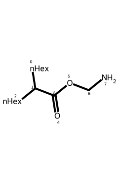 CCCCCCC(CCCCCC)C(=O)OCN